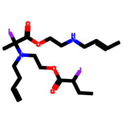 C=CCCN(CCOC(=O)C(I)CC)C(C)(I)C(=O)OCCNC/C=C/C